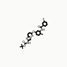 Cc1ccc(Oc2ccc3nc(NC(=O)OC(C)(C)C)cn3n2)cc1NC(=O)c1cccc(F)c1